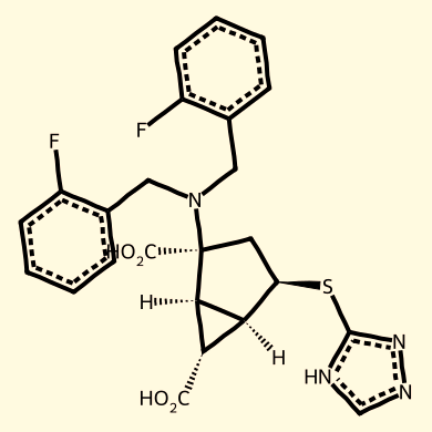 O=C(O)[C@H]1[C@H]2[C@@H]1[C@@](C(=O)O)(N(Cc1ccccc1F)Cc1ccccc1F)C[C@H]2Sc1nnc[nH]1